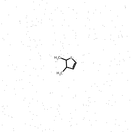 CC1C=[C]SC1C